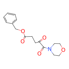 O=C(CCC(=O)C(=O)N1CCOCC1)OCc1ccccc1